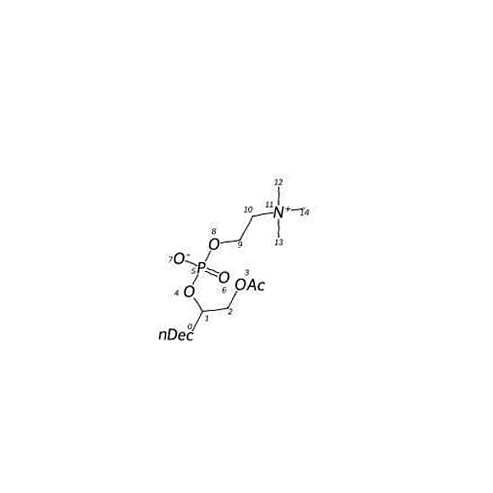 CCCCCCCCCCC(COC(C)=O)OP(=O)([O-])OCC[N+](C)(C)C